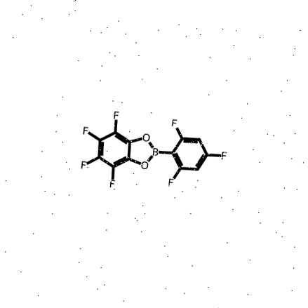 Fc1cc(F)c(B2Oc3c(F)c(F)c(F)c(F)c3O2)c(F)c1